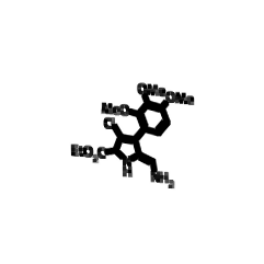 CCOC(=O)C1NC(=CN)C(c2ccc(OC)c(OC)c2OC)=C1Cl